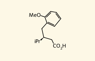 COc1ccccc1C[C@@H](CC(=O)O)C(C)C